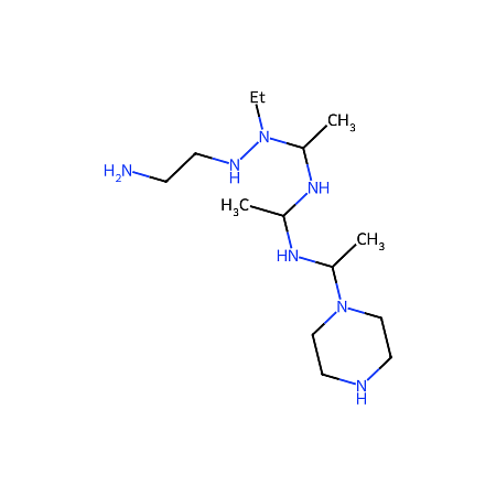 CCN(NCCN)C(C)NC(C)NC(C)N1CCNCC1